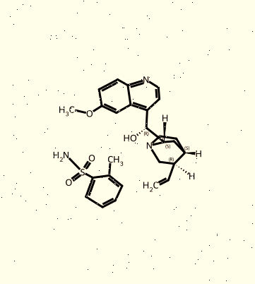 C=C[C@H]1CN2CC[C@H]1C[C@H]2[C@H](O)c1ccnc2ccc(OC)cc12.Cc1ccccc1S(N)(=O)=O